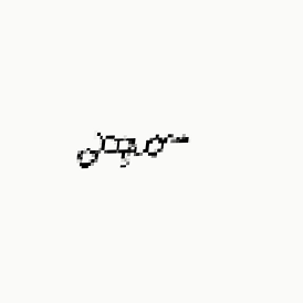 COc1ccc(Cn2ccc3cc(F)c(-c4ccccc4)cc3c2=O)cc1